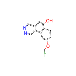 Oc1cc2cnncc2c2cc(OCF)ccc12